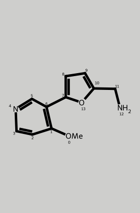 COc1ccncc1-c1ccc(CN)o1